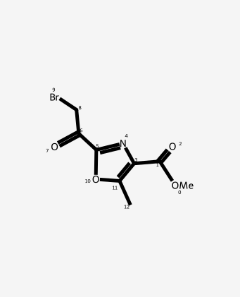 COC(=O)c1nc(C(=O)CBr)oc1C